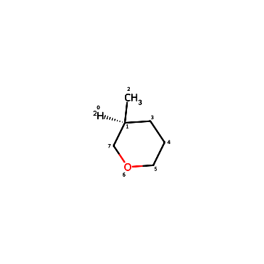 [2H][C@]1(C)CCCOC1